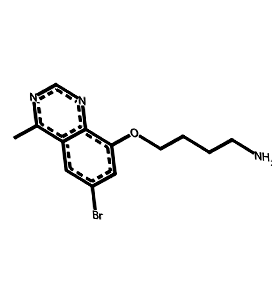 Cc1ncnc2c(OCCCCN)cc(Br)cc12